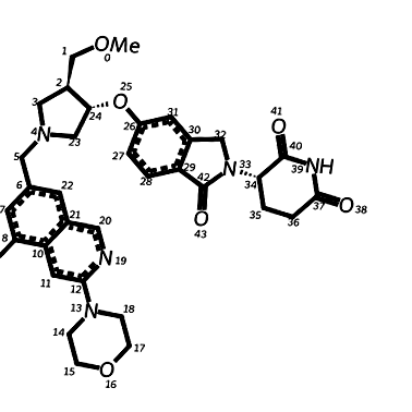 COC[C@@H]1CN(Cc2cc(F)c3cc(N4CCOCC4)ncc3c2)C[C@H]1Oc1ccc2c(c1)CN([C@H]1CCC(=O)NC1=O)C2=O